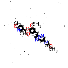 COc1ccc(C2COc3cc(Cc4cnc5cc(N6CC(OC)C6)cnn45)cc(OC)c3O2)c(C)n1